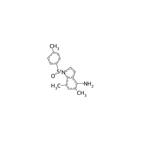 Cc1ccc([S+]([O-])n2ccc3c(N)c(C)cc(C)c32)cc1